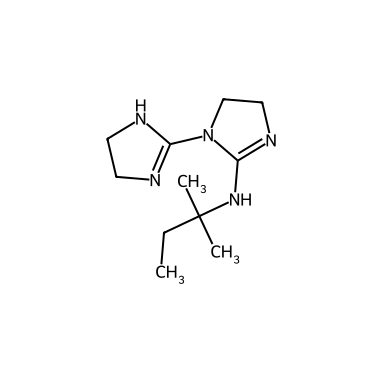 CCC(C)(C)NC1=NCCN1C1=NCCN1